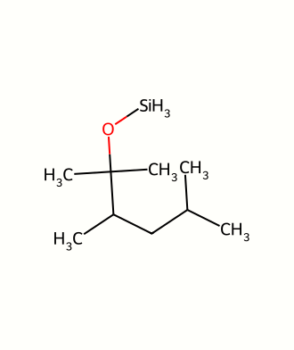 CC(C)CC(C)C(C)(C)O[SiH3]